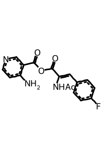 CC(=O)N/C(=C\c1ccc(F)cc1)C(=O)OC(=O)c1cnccc1N